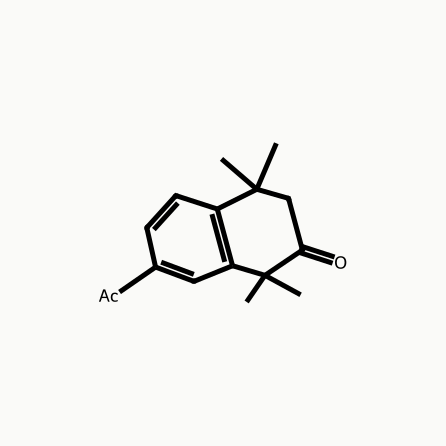 CC(=O)c1ccc2c(c1)C(C)(C)C(=O)CC2(C)C